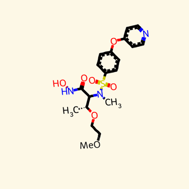 COCCO[C@H](C)C(C(=O)NO)N(C)S(=O)(=O)c1ccc(Oc2ccncc2)cc1